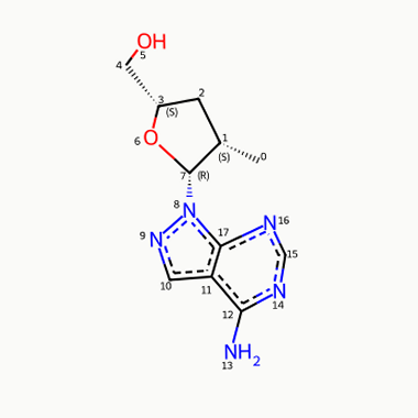 C[C@H]1C[C@@H](CO)O[C@H]1n1ncc2c(N)ncnc21